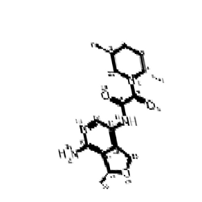 C[C@H]1CC[C@H](C)N(C(=O)C(=O)Nc2cnc(N)c3c2CO[C@H]3C)C1